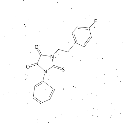 O=C1C(=O)N(c2ccccc2)C(=S)N1CCc1ccc(F)cc1